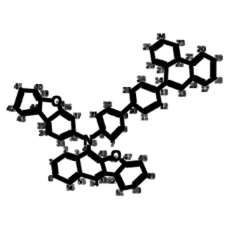 c1ccc2c(N(c3ccc(-c4ccc(-c5cc6ccccc6c6ccccc56)cc4)cc3)c3ccc4c(c3)oc3ccccc34)c3oc4ccccc4c3cc2c1